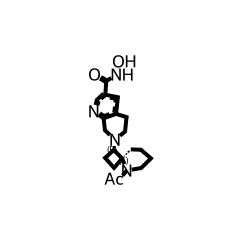 CC(=O)N1CCCC[C@@]12CC[C@H]2N1CCc2cc(C(=O)NO)cnc2C1